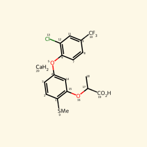 CSc1ccc(Oc2ccc(C(F)(F)F)cc2Cl)cc1OC(C)C(=O)O.[CaH2]